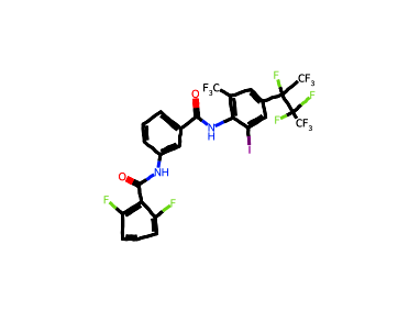 O=C(Nc1c(I)cc(C(F)(C(F)(F)F)C(F)(F)C(F)(F)F)cc1C(F)(F)F)c1cccc(NC(=O)c2c(F)cccc2F)c1